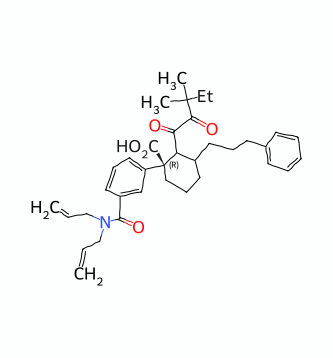 C=CCN(CC=C)C(=O)c1cccc([C@@]2(C(=O)O)CCCC(CCCc3ccccc3)C2C(=O)C(=O)C(C)(C)CC)c1